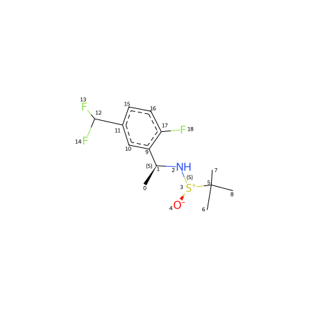 C[C@H](N[S@+]([O-])C(C)(C)C)c1cc(C(F)F)ccc1F